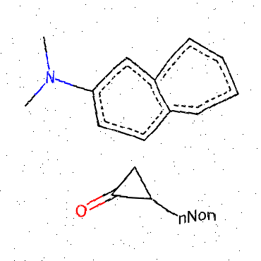 CCCCCCCCCC1CC1=O.CN(C)c1ccc2ccccc2c1